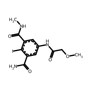 CNC(=O)c1cc(NC(=O)COC)cc(C(N)=O)c1I